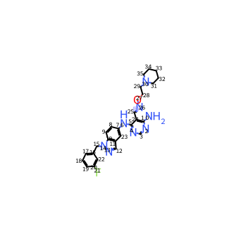 Nc1ncnc(Nc2ccc3c(cnn3Cc3cccc(F)c3)c2)c1/C=N/OCCN1CCCCC1